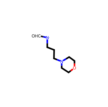 O=C[N]CCCN1CCOCC1